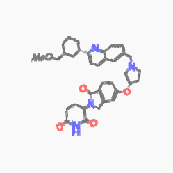 COC[C@H]1CCC[C@H](c2ccc3cc(CN4CC[C@H](Oc5ccc6c(c5)CN(C5CCC(=O)NC5=O)C6=O)C4)ccc3n2)C1